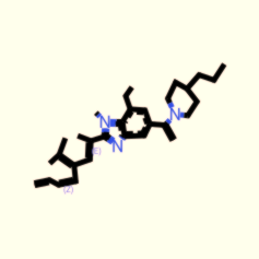 C=C/C=C\C(/C=C(\C)c1nc2cc(C(=C)N3CCC(CCC)CC3)cc(CC)c2n1C)=C(C)C